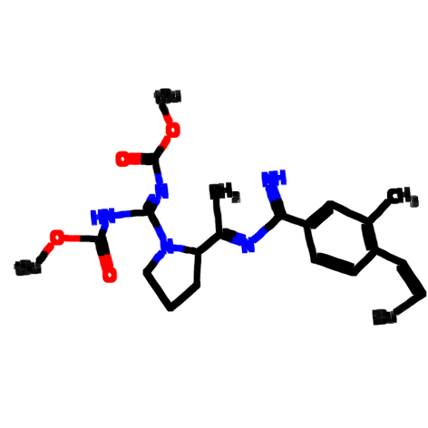 B/C(=N\C(=N)c1ccc(/C=C\C(C)CC)c(C)c1)C1CCCN1C(=NC(=O)OC(C)(C)C)NC(=O)OC(C)(C)C